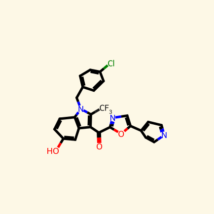 O=C(c1ncc(-c2ccncc2)o1)c1c(C(F)(F)F)n(Cc2ccc(Cl)cc2)c2ccc(O)cc12